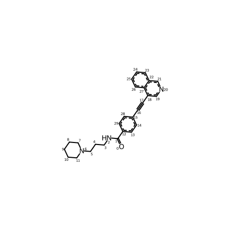 O=C(NCCCN1CCCCC1)c1ccc(C#Cc2cncc3ccccc23)cc1